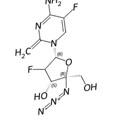 C=C1N=C(N)C(F)=CN1[C@@H]1O[C@@](CO)(N=[N+]=[N-])[C@H](O)C1F